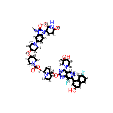 CCc1c(F)ccc2cc(O)cc(-c3ncc4c(N5CCC[C@@](C)(O)C5)nc(OC[C@@]56CCCN5[C@H](COC(=O)N5CCC(OC7CCN(c8ccc9c(c8)n(C)c(=O)n9C8CCC(=O)NC8=O)CC7)CC5)CC6)nc4c3F)c12